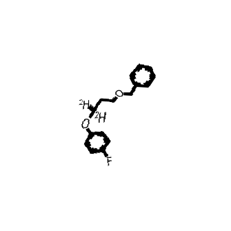 [2H]C([2H])(CCOCc1ccccc1)Oc1ccc(F)cc1